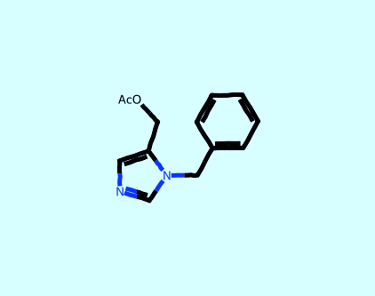 CC(=O)OCc1cncn1Cc1ccccc1